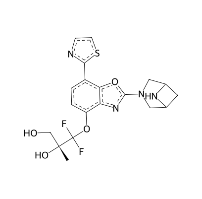 C[C@@](O)(CO)C(F)(F)Oc1ccc(-c2nccs2)c2oc(N3CC4CC(C3)N4)nc12